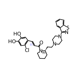 O=C(/C=C/c1cc(O)c(O)cc1Cl)N1CCCC[C@@H]1CCN1CCN(c2nsc3ccccc23)CC1